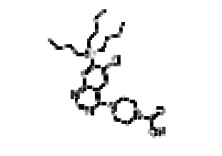 CCC[CH2][Sn]([CH2]CCC)([CH2]CCC)[c]1cc2ncnc(N3CCN(C(=O)O)CC3)c2cc1Cl